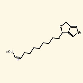 CCCCCCCC/C=C\CCCCCCC[CH]C1OCc2c[nH]cc21